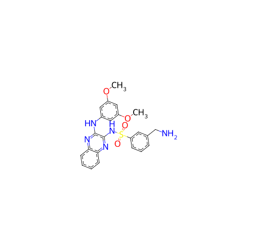 COc1cc(Nc2nc3ccccc3nc2NS(=O)(=O)c2cccc(CN)c2)cc(OC)c1